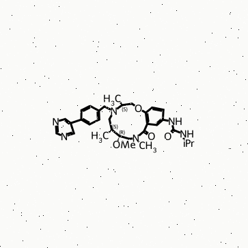 CO[C@H]1CN(C)C(=O)c2cc(NC(=O)NC(C)C)ccc2OC[C@H](C)N(Cc2ccc(-c3cncnc3)cc2)C[C@@H]1C